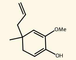 C=CCC1(C)C=C(OC)C(O)=CC1